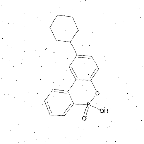 O=P1(O)Oc2ccc(C3CCCCC3)cc2-c2ccccc21